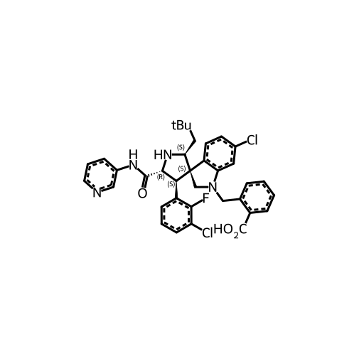 CC(C)(C)C[C@@H]1N[C@@H](C(=O)Nc2cccnc2)[C@H](c2cccc(Cl)c2F)[C@]12CN(Cc1ccccc1C(=O)O)c1cc(Cl)ccc12